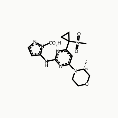 C[C@@H]1COCCN1c1cc(C2(S(C)(=O)=O)CC2)nc(Nc2ccnn2C(=O)O)n1